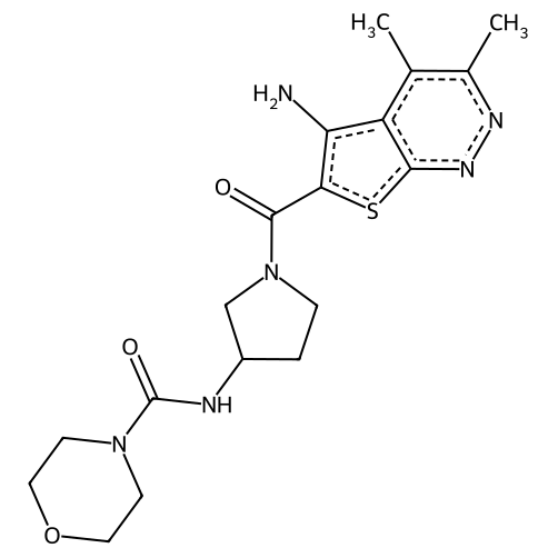 Cc1nnc2sc(C(=O)N3CCC(NC(=O)N4CCOCC4)C3)c(N)c2c1C